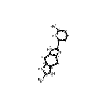 CC(C)(C)c1cccc(-c2nc3cc4[nH]c(C(C)(C)C)nc4cc3[nH]2)n1